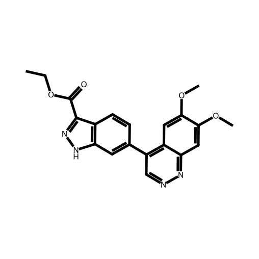 CCOC(=O)c1n[nH]c2cc(-c3cnnc4cc(OC)c(OC)cc34)ccc12